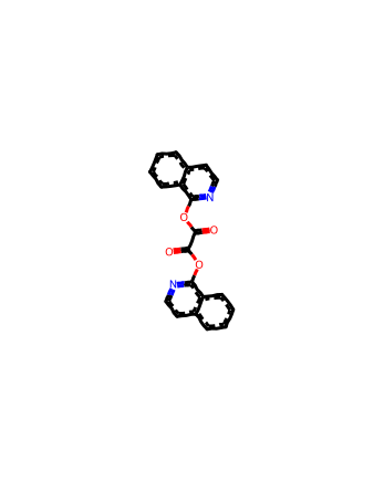 O=C(Oc1nccc2ccccc12)C(=O)Oc1nccc2ccccc12